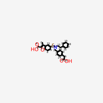 Cc1c(C(=O)O)oc2ccc(SN(CCc3ccccc3)Cc3ccc(CC(=O)O)cc3)cc12